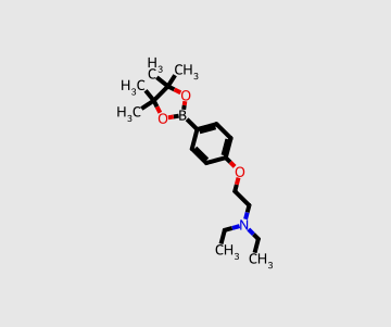 CCN(CC)CCOc1ccc(B2OC(C)(C)C(C)(C)O2)cc1